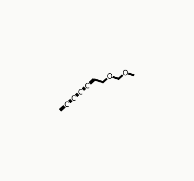 C=C=C=C=C=CCOCOC